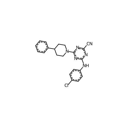 N#Cc1nc(Nc2ccc(Cl)cc2)nc(N2CCC(c3ccccc3)CC2)n1